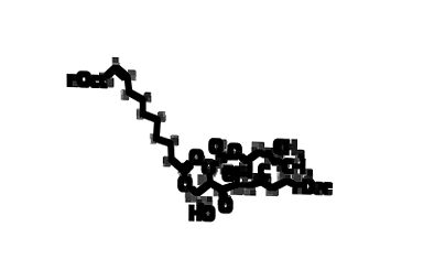 CCCCCCCC/C=C\CCCCCCCC(=O)O[C@@H](CO)C(OP(=O)(O)OCC[N+](C)(C)C)C(=O)CCCCCCCCCCCCCCC